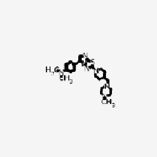 CN1CCN(CC2CCN(c3nn4c(-c5ccc(N(C)C)cc5)cnc4s3)CC2)CC1